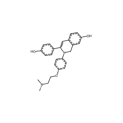 CN(C)CCOc1ccc(N2Cc3cc(O)ccc3C=C2c2ccc(O)cc2)cc1